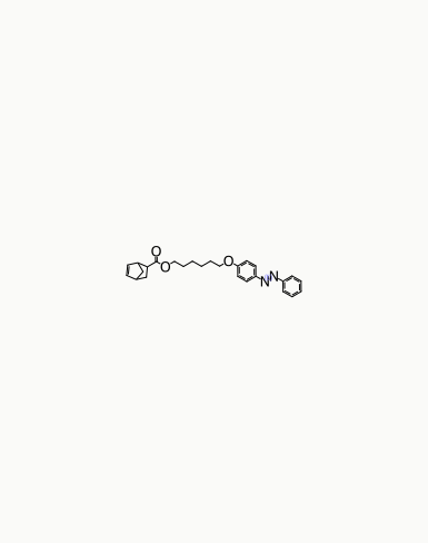 O=C(OCCCCCCOc1ccc(/N=N/c2ccccc2)cc1)C1CC2C=CC1C2